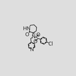 O=C1NCCCC[C@H]1N(Cc1ccncc1)S(=O)(=O)c1ccc(Cl)cc1